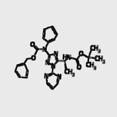 C[C@H](NC(=O)OC(C)(C)C)c1nc(N(C(=O)OCc2ccccc2)c2ccccc2)nn1-c1ncccn1